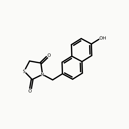 O=C1CSC(=O)N1Cc1ccc2cc(O)ccc2c1